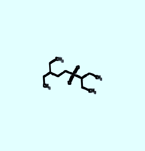 CCC(CC)CCS(=O)(=O)C(CC)CC